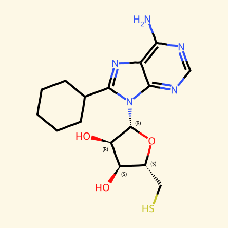 Nc1ncnc2c1nc(C1CCCCC1)n2[C@@H]1O[C@H](CS)[C@@H](O)[C@H]1O